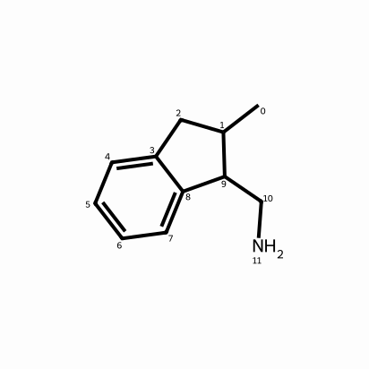 CC1Cc2ccccc2C1CN